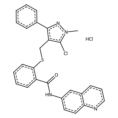 Cl.Cn1nc(-c2ccccc2)c(CSc2ccccc2C(=O)Nc2ccc3ncccc3c2)c1Cl